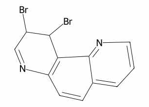 BrC1C=Nc2ccc3cccnc3c2C1Br